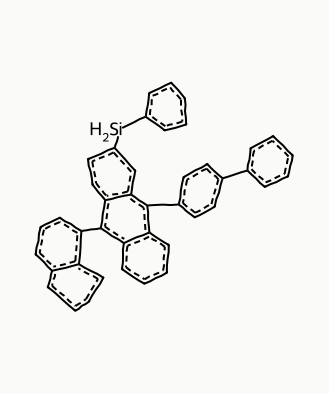 c1ccc([SiH2]c2ccc3c(-c4cccc5ccccc45)c4ccccc4c(-c4ccc(-c5ccccc5)cc4)c3c2)cc1